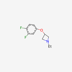 CCN1CC(Oc2ccc(F)c(F)c2)C1